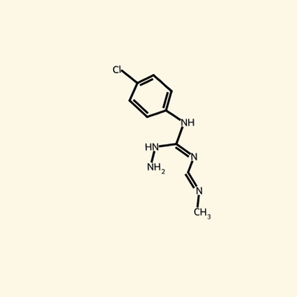 C/N=C/N=C(\NN)Nc1ccc(Cl)cc1